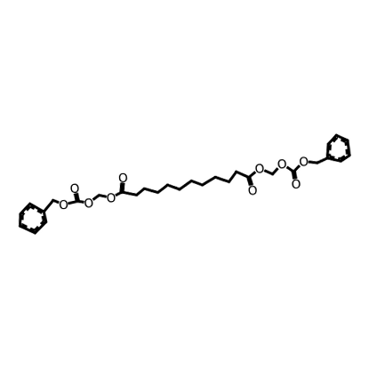 O=C(CCCCCCCCCCC(=O)OCOC(=O)OCc1ccccc1)OCOC(=O)OCc1ccccc1